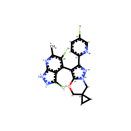 Cc1nc2[nH]nc(Cl)c2c(-c2c(-c3ccc(F)cn3)nn3c2OCC2(CC2)C3)c1F